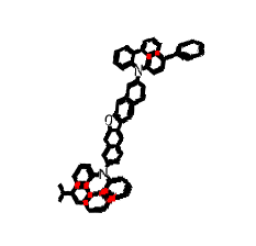 CC(C)c1ccc(-c2ccccc2N(c2ccc3cc4c(cc3c2)oc2cc3cc(N(c5ccc(-c6ccccc6)cc5)c5ccccc5-c5ccccc5)ccc3cc24)c2ccccc2-c2ccccc2)cc1